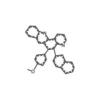 COc1ccc(-c2c(-c3ccc4ccccc4c3)c3ncccc3c3nc4ccccc4cc23)cc1